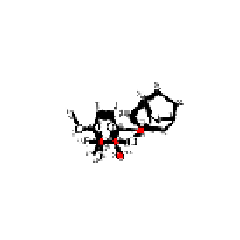 COc1ccc(CN2C3C=C(OS(=O)(=O)C(F)(F)F)CC2CC3)c(C)c1C